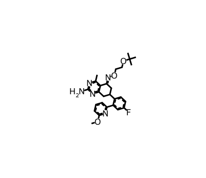 COc1cccc(-c2cc(F)ccc2C2CC(=NOCCOC(C)(C)C)c3c(C)nc(N)nc3C2)n1